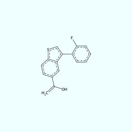 C=C(O)c1ccc2scc(-c3ccccc3F)c2c1